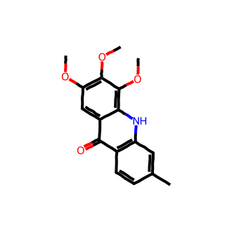 COc1cc2c(=O)c3ccc(C)cc3[nH]c2c(OC)c1OC